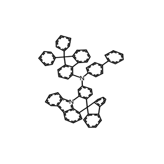 c1ccc(-c2ccc(N(c3ccc4c(c3)-n3c5ccccc5c5cccc(c53)C43c4ccccc4-c4ccccc43)c3cccc4c3-c3ccccc3C4(c3ccccc3)c3ccccc3)cc2)cc1